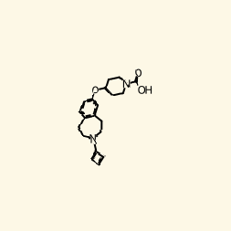 O=C(O)N1CCC(Oc2ccc3c(c2)CCN(C2=CC=C2)CC3)CC1